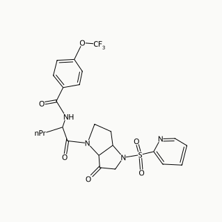 CCCC(NC(=O)c1ccc(OC(F)(F)F)cc1)C(=O)N1CCC2C1C(=O)CN2S(=O)(=O)c1ccccn1